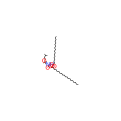 CCCCCCCCCCCCCCCCCCC(COC(=O)NCC(C)(C)OCCC(C)C)OC(=O)CCCCCCCCCCCCCCCCC